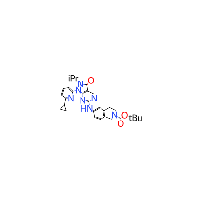 CC(C)n1c(=O)c2cnc(Nc3ccc4c(c3)CCN(C(=O)OC(C)(C)C)C4)nc2n1-c1cccc(C2CC2)n1